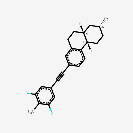 CC[C@@H]1CC[C@@H]2c3ccc(C#Cc4cc(F)c(C(F)(F)F)c(F)c4)cc3CC[C@@H]2C1